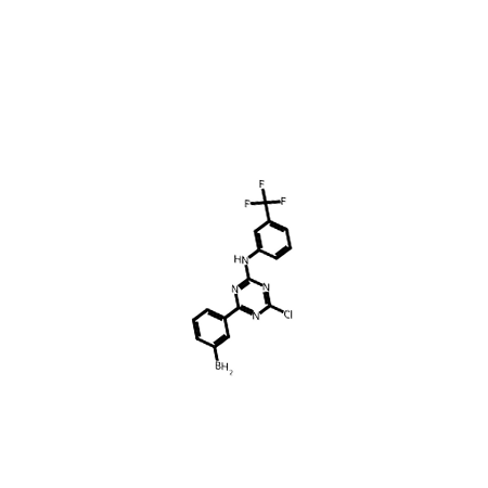 Bc1cccc(-c2nc(Cl)nc(Nc3cccc(C(F)(F)F)c3)n2)c1